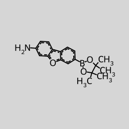 CC1(C)OB(c2ccc3c(c2)oc2cc(N)ccc23)OC1(C)C